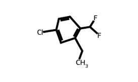 CCc1cc(Cl)ccc1C(F)F